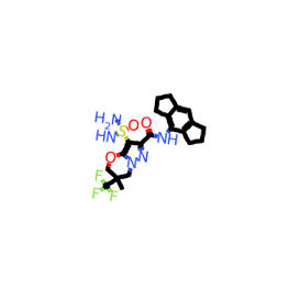 CC1(C(F)(F)F)COc2c(S(=N)(N)=O)c(C(=O)Nc3c4c(cc5c3CCC5)CCC4)nn2C1